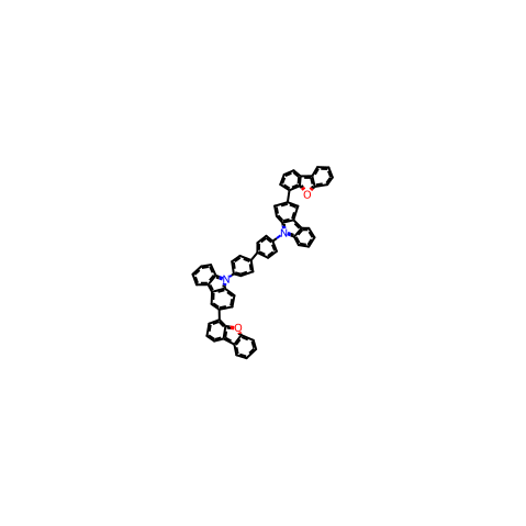 c1ccc2c(c1)oc1c(-c3ccc4c(c3)c3ccccc3n4-c3ccc(-c4ccc(-n5c6ccccc6c6cc(-c7cccc8c7oc7ccccc78)ccc65)cc4)cc3)cccc12